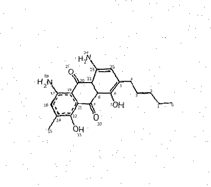 CCCCCC1=C(O)C2C(=O)c3c(O)c(C)cc(N)c3C(=O)C2C(N)=C1